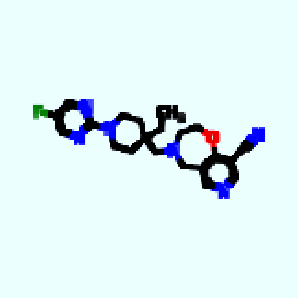 CCC1(CN2CCOc3c(C#N)cncc3C2)CCN(c2ncc(F)cn2)CC1